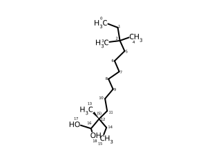 CCC(C)(C)CCCCCCC[C@](C)(CC)C(O)O